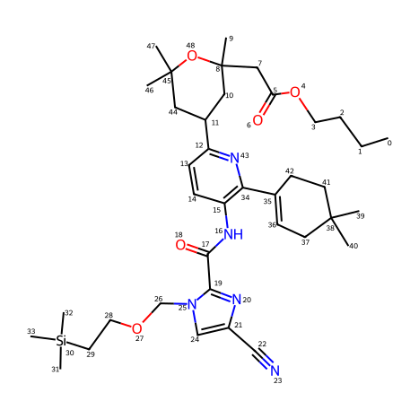 CCCCOC(=O)CC1(C)CC(c2ccc(NC(=O)c3nc(C#N)cn3COCC[Si](C)(C)C)c(C3=CCC(C)(C)CC3)n2)CC(C)(C)O1